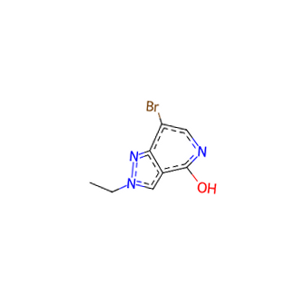 CCn1cc2c(O)ncc(Br)c2n1